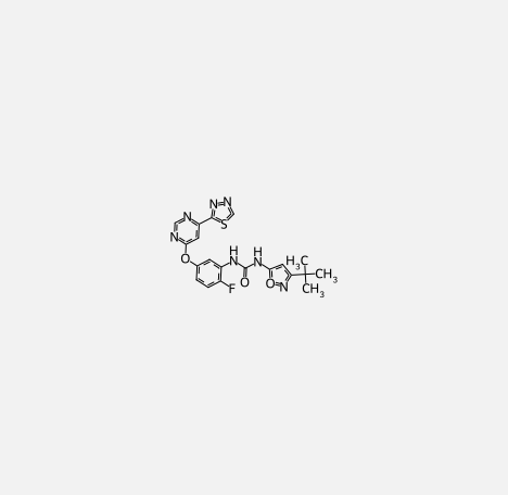 CC(C)(C)c1cc(NC(=O)Nc2cc(Oc3cc(-c4nncs4)ncn3)ccc2F)on1